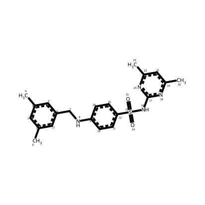 Cc1cc(C)cc(CNc2ccc(S(=O)(=O)Nc3nc(C)cc(C)n3)cc2)c1